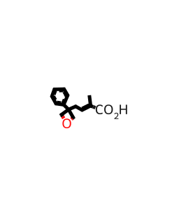 CC(=CCC1(c2ccccc2)COC1)C(=O)O